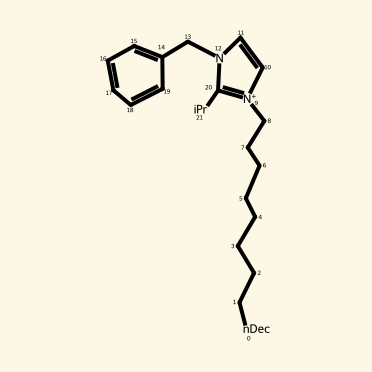 CCCCCCCCCCCCCCCCCC[n+]1ccn(Cc2ccccc2)c1C(C)C